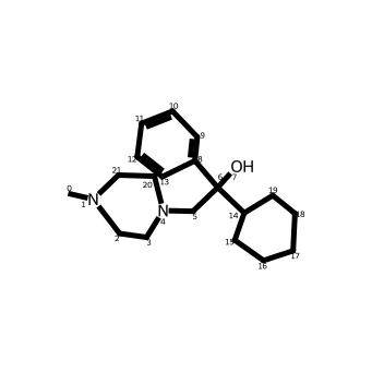 CN1CCN(CC(O)(c2ccccc2)C2CCCCC2)CC1